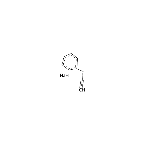 C#CCc1ccccc1.[NaH]